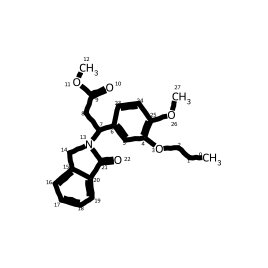 CCCOc1cc(C(CC(=O)OC)N2Cc3ccccc3C2=O)ccc1OC